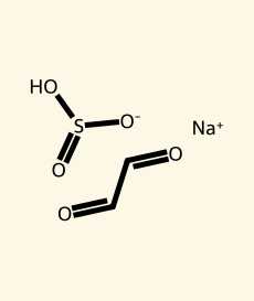 O=CC=O.O=S([O-])O.[Na+]